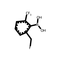 OB(O)c1c(CF)cccc1C(F)(F)F